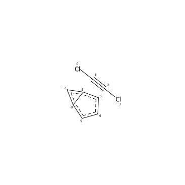 ClC#CCl.c1cc2cc-2c1